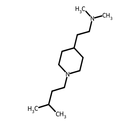 CC(C)CCN1CCC(CCN(C)C)CC1